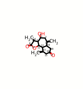 C=C1CC(O)C2C(=C)C(=O)OC2C2C(=C)CC(=O)CC12